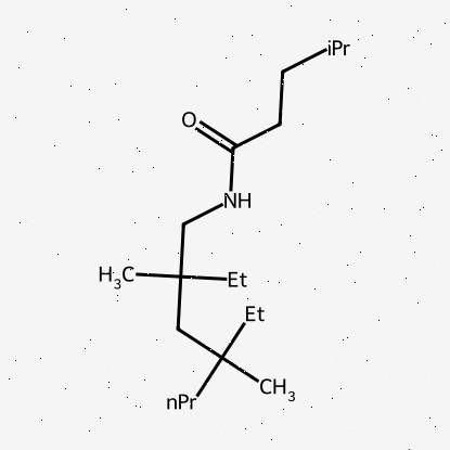 CCCC(C)(CC)CC(C)(CC)CNC(=O)CCC(C)C